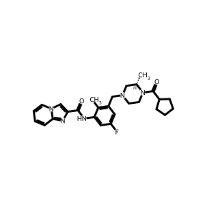 Cc1c(CN2CCN(C(=O)C3CCCC3)[C@@H](C)C2)cc(F)cc1NC(=O)c1cn2ccccc2n1